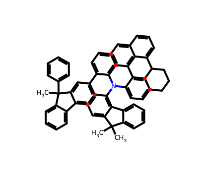 CC1(C)c2ccccc2-c2c(N(c3ccccc3-c3ccc4c(c3)C(C)(c3ccccc3)c3ccccc3-4)c3ccccc3-c3cccc4cccc(C5CCCCC5)c34)cccc21